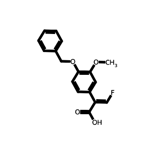 COc1cc(/C(=C\F)C(=O)O)ccc1OCc1ccccc1